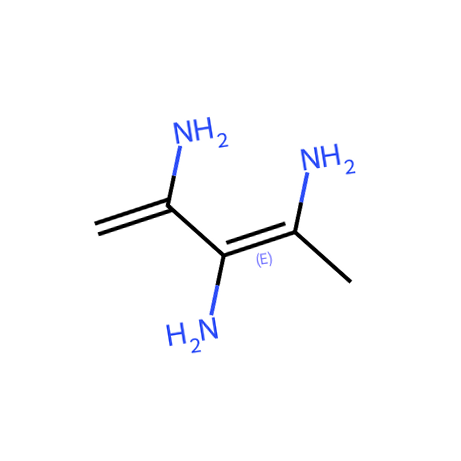 C=C(N)/C(N)=C(/C)N